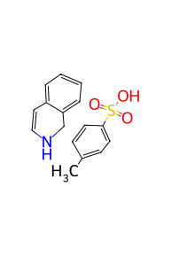 C1=Cc2ccccc2CN1.Cc1ccc(S(=O)(=O)O)cc1